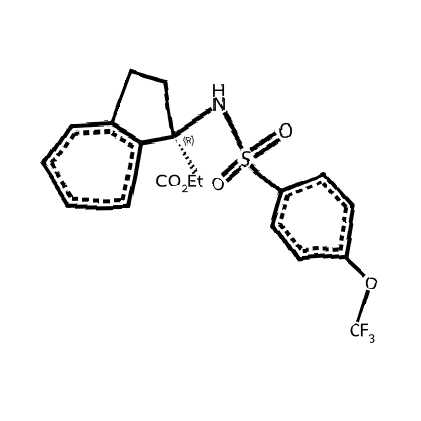 CCOC(=O)[C@@]1(NS(=O)(=O)c2ccc(OC(F)(F)F)cc2)CCc2ccccc21